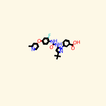 Cc1cc(Oc2ccc(NC(=O)Nc3cc(C(C)(C)C)nn3C3=CC=CC(C(=O)O)C3)c(F)c2)ccn1